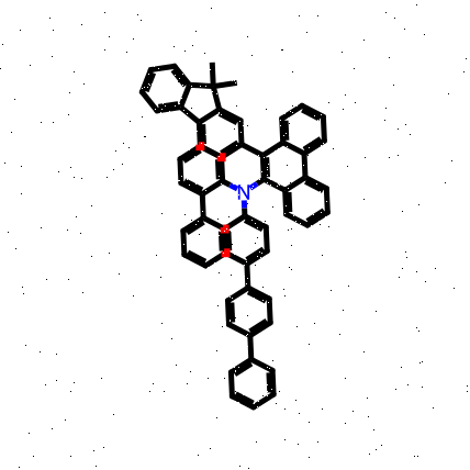 CC1(C)c2ccccc2-c2ccc(-c3c(N(c4ccc(-c5ccc(-c6ccccc6)cc5)cc4)c4ccccc4-c4ccccc4)c4ccccc4c4ccccc34)cc21